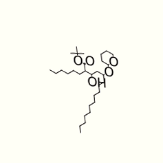 CCCCCCCCCCCC(CC(O)C(CCCCCC)C(=O)OC(C)(C)C)OC1CCCCO1